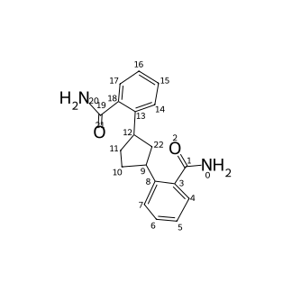 NC(=O)c1ccccc1C1CCC(c2ccccc2C(N)=O)C1